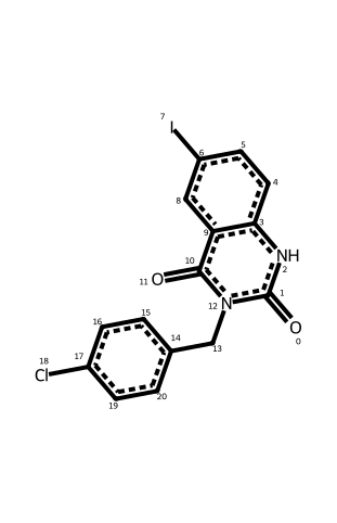 O=c1[nH]c2ccc(I)cc2c(=O)n1Cc1ccc(Cl)cc1